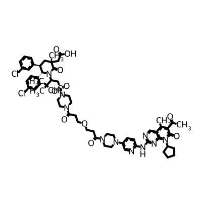 CC(=O)c1c(C)c2cnc(Nc3ccc(N4CCN(C(=O)CCOCCC(=O)N5CCN(S(=O)(=O)CC(N6C(=O)[C@@](C)(CC(=O)O)C[C@H](c7cccc(Cl)c7)[C@H]6c6ccc(Cl)cc6)C(C)(C)C)CC5)CC4)cn3)nc2n(C2CCCC2)c1=O